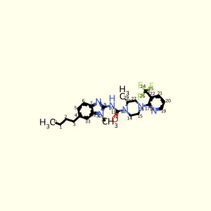 CCCCc1ccc2nc(NC(=O)N3CCN(c4ncccc4C(F)(F)F)C[C@H]3C)n(C)c2c1